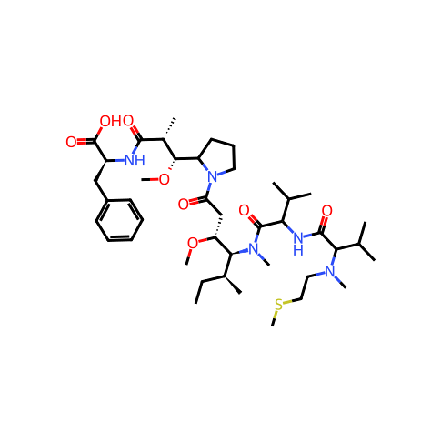 CC[C@H](C)[C@@H]([C@@H](CC(=O)N1CCCC1[C@H](OC)[C@@H](C)C(=O)N[C@@H](Cc1ccccc1)C(=O)O)OC)N(C)C(=O)C(NC(=O)C(C(C)C)N(C)CCSC)C(C)C